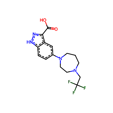 O=C(O)c1n[nH]c2ccc(N3CCCN(CC(F)(F)F)CC3)cc12